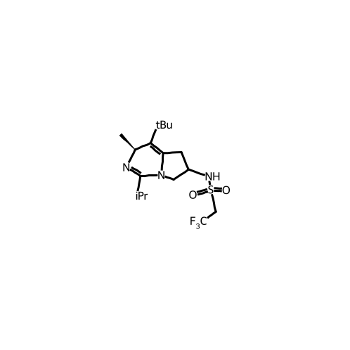 CC(C)C1=N[C@@H](C)C(C(C)(C)C)=C2CC(NS(=O)(=O)CC(F)(F)F)CN12